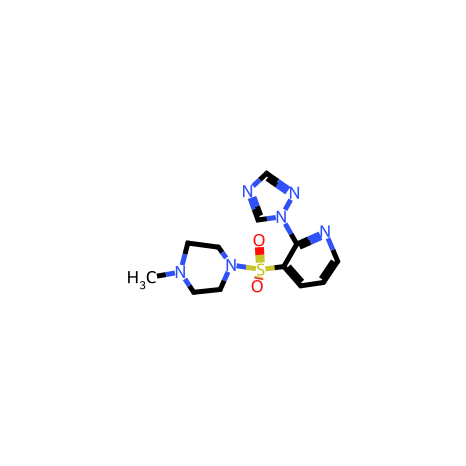 CN1CCN(S(=O)(=O)c2cccnc2-n2cncn2)CC1